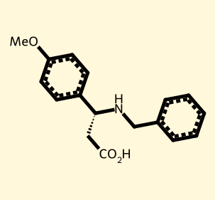 COc1ccc([C@@H](CC(=O)O)NCc2ccccc2)cc1